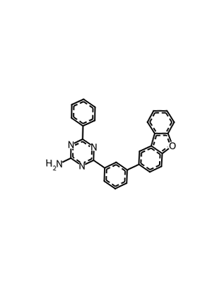 Nc1nc(-c2ccccc2)nc(-c2cccc(-c3ccc4oc5ccccc5c4c3)c2)n1